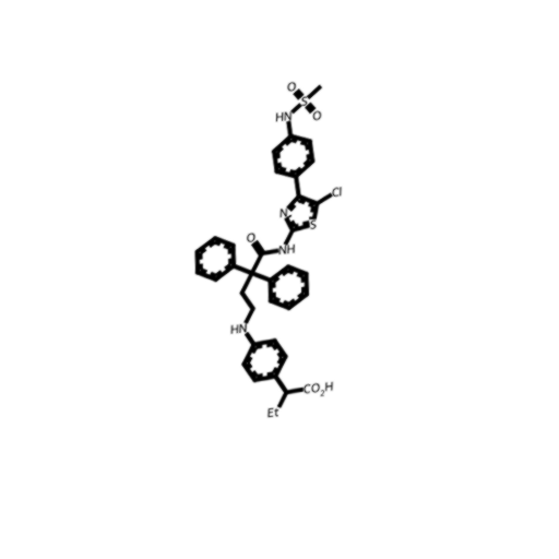 CCC(C(=O)O)c1ccc(NCCC(C(=O)Nc2nc(-c3ccc(NS(C)(=O)=O)cc3)c(Cl)s2)(c2ccccc2)c2ccccc2)cc1